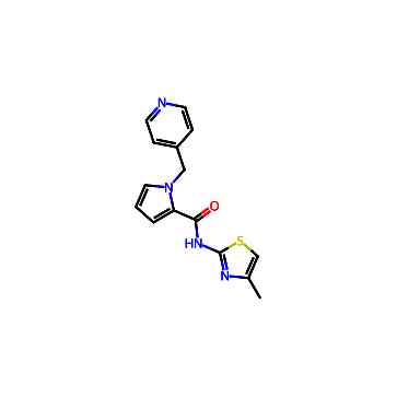 Cc1csc(NC(=O)c2cccn2Cc2ccncc2)n1